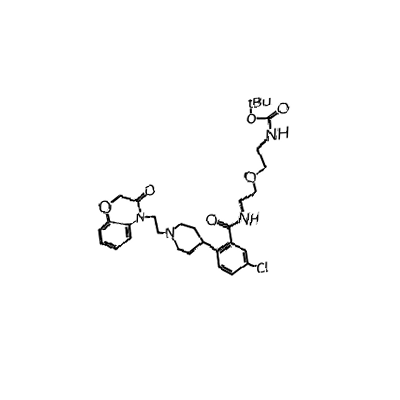 CC(C)(C)OC(=O)NCCOCCNC(=O)c1cc(Cl)ccc1C1CCN(CCN2C(=O)COc3ccccc32)CC1